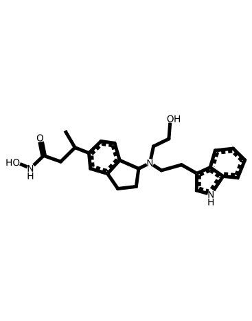 CC(CC(=O)NO)c1ccc2c(c1)CCC2N(CCO)CCc1c[nH]c2ccccc12